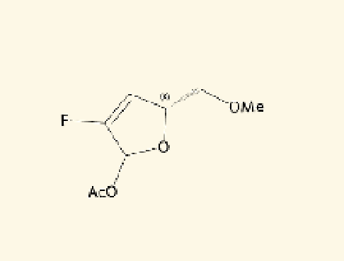 COC[C@H]1C=C(F)C(OC(C)=O)O1